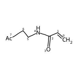 C=CC(=O)NCCC(C)=O